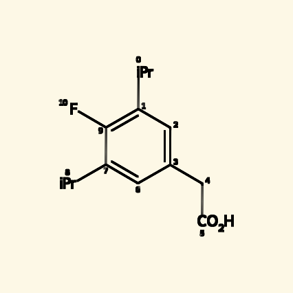 CC(C)c1cc(CC(=O)O)cc(C(C)C)c1F